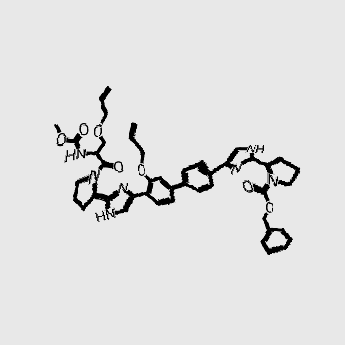 C=CCOCC(NC(=O)OC)C(=O)N1CCCC1c1nc(-c2ccc(-c3ccc(-c4c[nH]c(C5CCCN5C(=O)OCc5ccccc5)n4)cc3)cc2OCC=C)c[nH]1